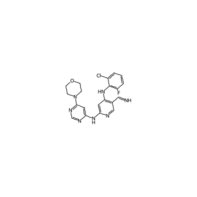 N=Cc1cnc(Nc2cc(N3CCOCC3)ncn2)cc1Nc1c(F)cccc1Cl